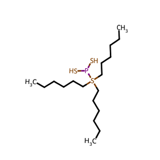 CCCCCCS(CCCCCC)(CCCCCC)P(S)S